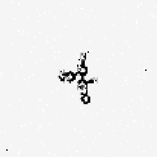 CC1(Cn2ncc(-c3ccc(C#N)nc3-c3ccn4ccnc4c3)c2C#N)CCCC1